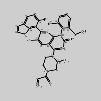 C=CC(=O)N1CCN(c2nc(=O)n(-c3c(CO)cccc3C(C)C)c3nc(-c4c(F)ccc5ccoc45)c(F)cc23)[C@@H](C)C1